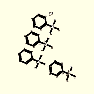 C[PH](C)(C)c1ccccc1.C[PH](C)(C)c1ccccc1.C[PH](C)(C)c1ccccc1.C[PH](C)(C)c1ccccc1.[Pd]